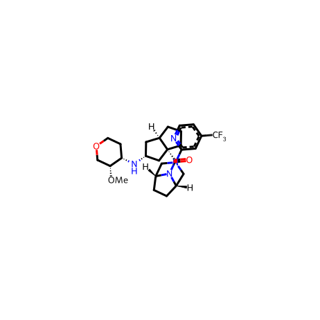 CO[C@@H]1COCC[C@@H]1N[C@@H]1C[C@H]2CCC[C@@]2(C(=O)N2[C@@H]3CC[C@H]2CN(c2cc(C(F)(F)F)ccn2)C3)C1